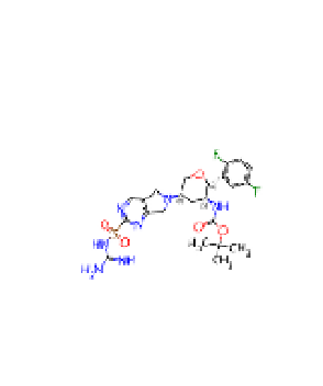 CC(C)(C)OC(=O)N[C@H]1C[C@@H](N2Cc3cnc(S(=O)(=O)NC(=N)N)nc3C2)CO[C@@H]1c1cc(F)ccc1F